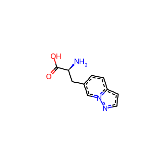 N[C@@H](Cc1ccc2ccnn2c1)C(=O)O